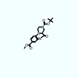 COC(=O)c1ccc2c(c1)NC(=O)C1CN(C(=O)OC(C)(C)C)CCN21